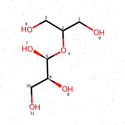 OCC(CO)O[C@H](O)[C@@H](O)CO